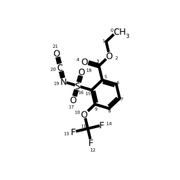 CCOC(=O)c1cccc(OC(F)(F)F)c1S(=O)(=O)N=C=O